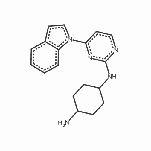 NC1CCC(Nc2nccc(-n3ccc4ccccc43)n2)CC1